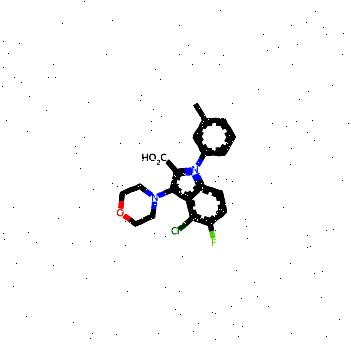 Cc1cccc(-n2c(C(=O)O)c(N3CCOCC3)c3c(Cl)c(F)ccc32)c1